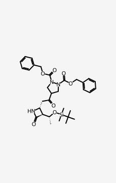 C[C@@H](O[Si](C)(C)C(C)(C)C)[C@H]1C(=O)N[C@@H]1CC(=O)C1CN(C(=O)OCc2ccccc2)N(C(=O)OCc2ccccc2)C1